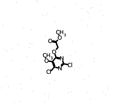 COC(=O)COc1nc(Cl)nc(Cl)c1OC